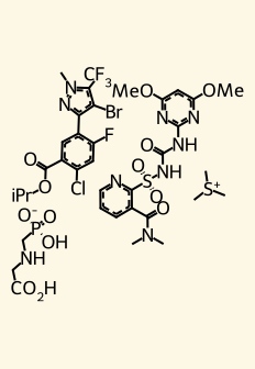 CC(C)OC(=O)c1cc(-c2nn(C)c(C(F)(F)F)c2Br)c(F)cc1Cl.COc1cc(OC)nc(NC(=O)NS(=O)(=O)c2ncccc2C(=O)N(C)C)n1.C[S+](C)C.O=C(O)CNCP(=O)([O-])O